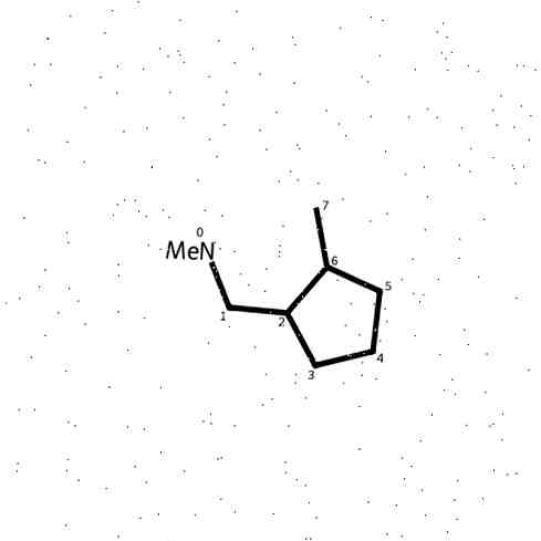 CNCC1CCCC1C